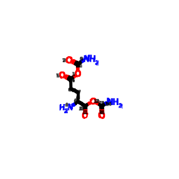 NC(=O)OC(=O)CCC(N)C(=O)OC(N)=O